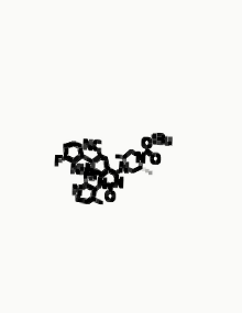 Cc1ccnc(C(C)C)c1-n1c(=O)nc(N2C[C@@H](C)N(C(=O)OC(C)(C)C)C[C@@H]2C)c2cc(C#N)c(-c3cccc(F)c3N)nc21